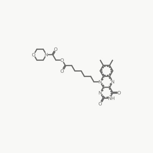 Cc1cc2nc3c(=O)[nH]c(=O)nc-3n(CCCCCCC(=O)OCC(=O)N3CCOCC3)c2cc1C